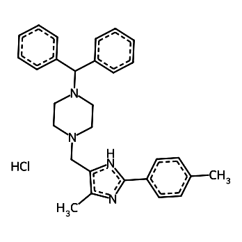 Cc1ccc(-c2nc(C)c(CN3CCN(C(c4ccccc4)c4ccccc4)CC3)[nH]2)cc1.Cl